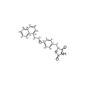 O=C1NC(=O)C(Cc2ccc(OCCc3cccc4ccccc34)cc2)S1